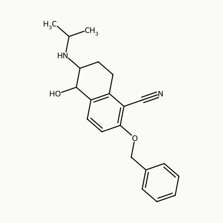 CC(C)NC1CCc2c(ccc(OCc3ccccc3)c2C#N)C1O